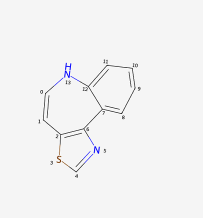 C1=Cc2scnc2-c2ccccc2N1